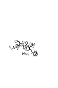 Cn1nnnc1SCC1=C(C(=O)O)N2C(=O)C(NC(=O)/C(=C/Cl)c3csc(N)n3)[C@H]2SC1.[NaH]